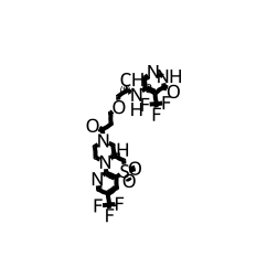 C[C@@H](COCCC(=O)N1CCN2c3ncc(C(F)(F)F)cc3S(=O)(=O)C[C@@H]2C1)Nc1cn[nH]c(=O)c1C(F)(F)F